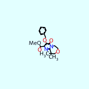 COC(=O)c1nc2n(c(=O)c1OCc1ccccc1)CCOCC2(C)C